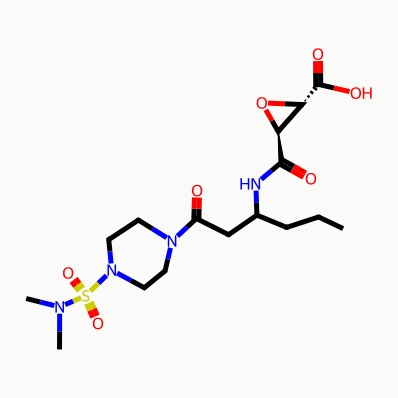 CCCC(CC(=O)N1CCN(S(=O)(=O)N(C)C)CC1)NC(=O)[C@H]1O[C@@H]1C(=O)O